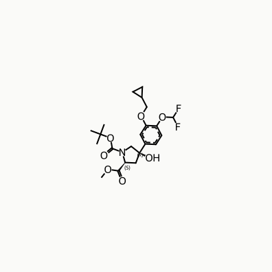 COC(=O)[C@@H]1C[C@@](O)(c2ccc(OC(F)F)c(OCC3CC3)c2)CN1C(=O)OC(C)(C)C